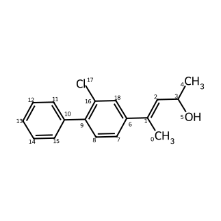 CC(=CC(C)O)c1ccc(-c2ccccc2)c(Cl)c1